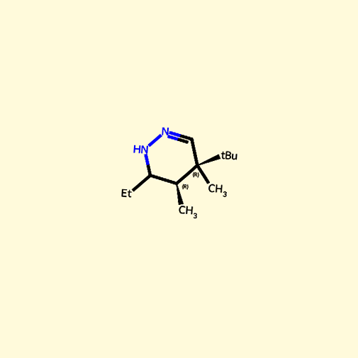 CCC1NN=C[C@@](C)(C(C)(C)C)[C@H]1C